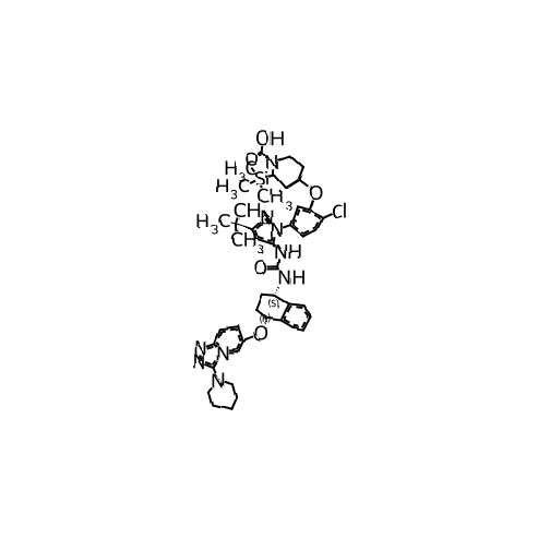 CC(C)(C)c1cc(NC(=O)N[C@H]2CC[C@@H](Oc3ccc4nnc(N5CCCCC5)n4c3)c3ccccc32)n(-c2ccc(Cl)c(OC3CCN(C(=O)O)C([Si](C)(C)C)C3)c2)n1